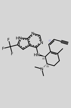 C#C/C=C\C1=C(C)CC[C@H](N(C)C)[C@H]1Nc1ncnc2[nH]c(C(F)(F)F)cc12